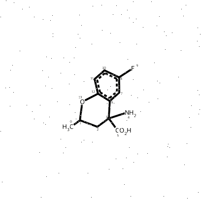 CC1CC(N)(C(=O)O)c2cc(F)ccc2O1